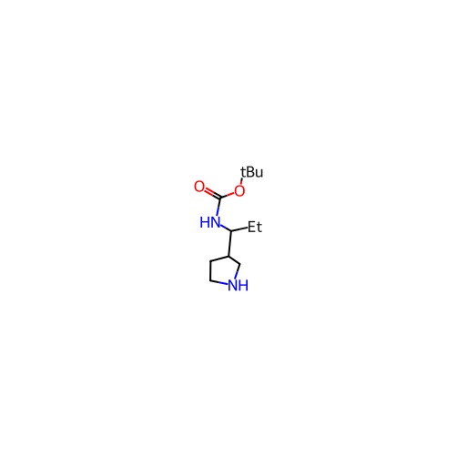 CCC(NC(=O)OC(C)(C)C)C1CCNC1